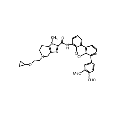 COc1cc(-c2nccc(-c3cccc(NC(=O)c4nc5c(n4C)CCN(CCOC4CC4)C5)c3Cl)c2Cl)ccc1C=O